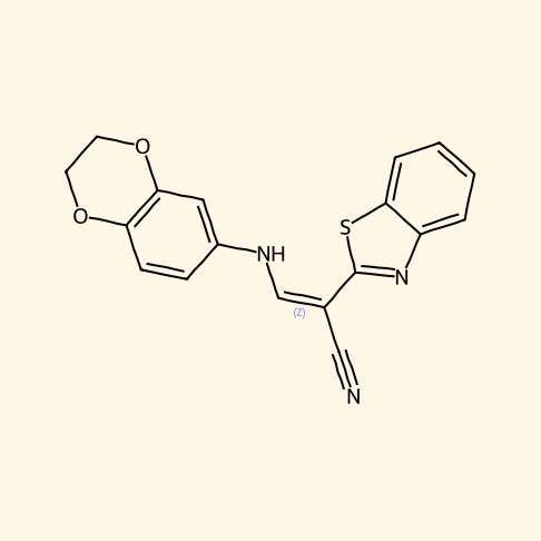 N#C/C(=C/Nc1ccc2c(c1)OCCO2)c1nc2ccccc2s1